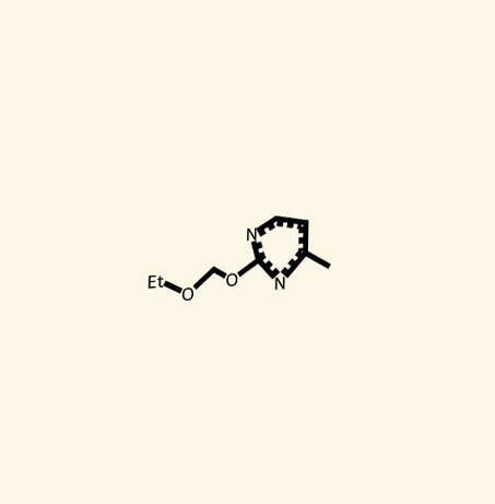 CCOCOc1nccc(C)n1